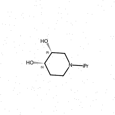 CC(C)N1CC[C@H](O)[C@H](O)C1